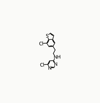 Clc1cc(NCCc2cc(Cl)c3sccc3c2)ncn1